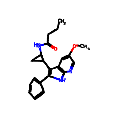 CCCC(=O)NC1CC1c1c(-c2ccccc2)[nH]c2ncc(OC)cc12